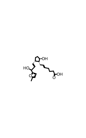 Cc1ccc(C(O)C=C[C@@H]2CC[C@@H](O)[C@@H]2CC=CCCCC(=O)O)o1